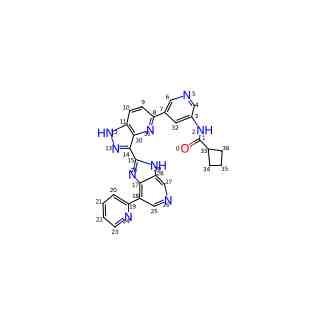 O=C(Nc1cncc(-c2ccc3[nH]nc(-c4nc5c(-c6ccccn6)cncc5[nH]4)c3n2)c1)C1CCC1